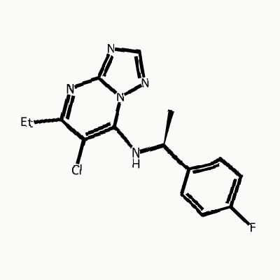 CCc1nc2ncnn2c(N[C@@H](C)c2ccc(F)cc2)c1Cl